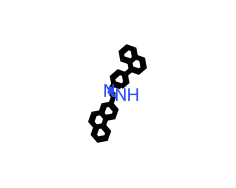 c1ccc2c(-c3ccc4nc(-c5ccc6c(ccc7ccccc76)c5)[nH]c4c3)cccc2c1